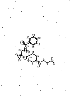 CC(C)CCN(C)[C@H]1CC[C@]2(CC1)CN(C(=O)c1ccccc1)CC1(CC1)O2